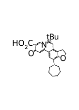 CC(C)(C)[C@@H]1Cc2c(cc(C3CCCCCC3)c3c2CCO3)-c2cc(=O)c(C(=O)O)cn21